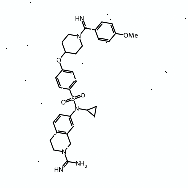 COc1ccc(C(=N)N2CCC(Oc3ccc(S(=O)(=O)N(c4ccc5c(c4)CN(C(=N)N)CC5)C4CC4)cc3)CC2)cc1